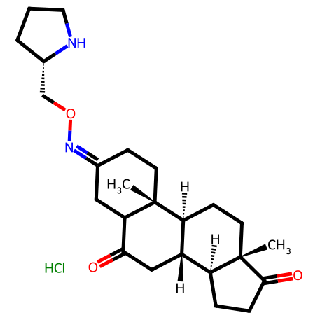 C[C@]12CCC(=NOC[C@@H]3CCCN3)CC1C(=O)C[C@@H]1[C@@H]2CC[C@]2(C)C(=O)CC[C@@H]12.Cl